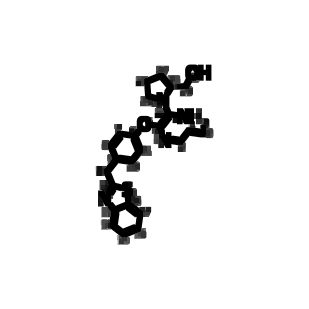 C=C/C=N\C(Oc1ccc(Cc2nc3ccccc3s2)cc1)=C(/N)N1CCC[C@H]1CO